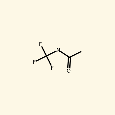 CC(=O)[N]C(F)(F)F